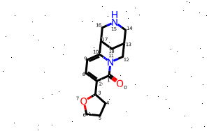 O=c1c(C2CCCO2)ccc2n1CC1CNCC2C1